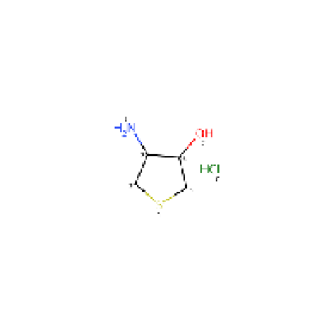 Cl.NC1CSCC1O